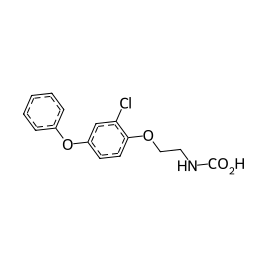 O=C(O)NCCOc1ccc(Oc2ccccc2)cc1Cl